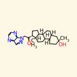 C[C@@]1(O)CC[C@H]2[C@H](CC[C@@H]3[C@@H]2CC[C@]2(C)[C@@H](C(=O)Cn4ncc5nccnc54)CC[C@@H]32)C1